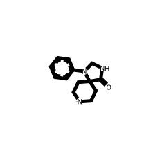 O=C1NCN(c2ccccc2)C12CC[N]CC2